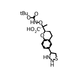 CC(C)(C)OC(=O)NO[C@](C)(C(=O)O)[C@H]1CCc2cc(C3CSNN3)ccc2O1